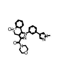 Cn1cc(-c2cccc(-n3nc(C(=O)N4CCOCC4)c4c3-c3ccccc3[S+]([O-])C4)c2)cn1